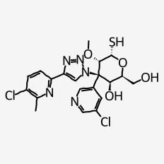 CO[C@@H]1[C@H](S)O[C@@H](CO)[C@@H](O)[C@@]1(c1cncc(Cl)c1)n1cc(-c2ccc(Cl)c(C)n2)nn1